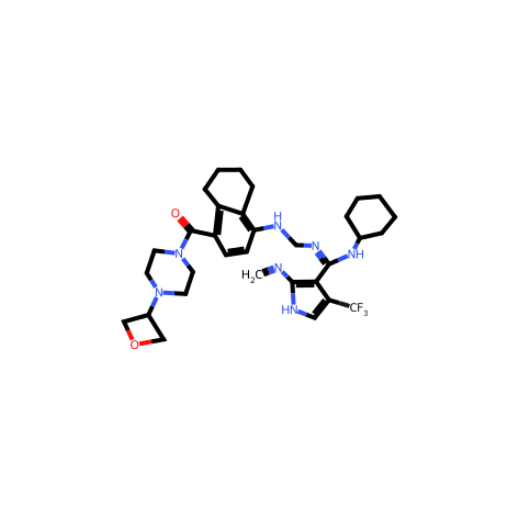 C=Nc1[nH]cc(C(F)(F)F)c1/C(=N\CNc1ccc(C(=O)N2CCN(C3COC3)CC2)c2c1CCCC2)NC1CCCCC1